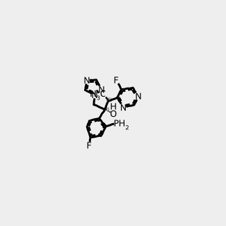 C[C@@H](c1ncncc1F)[C@](O)(Cn1cncn1)c1ccc(F)cc1P